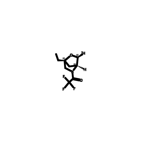 [3H][C@@H]1O[C@]2(CC)C[C@@H]1N(C(=O)C(F)(F)F)C2